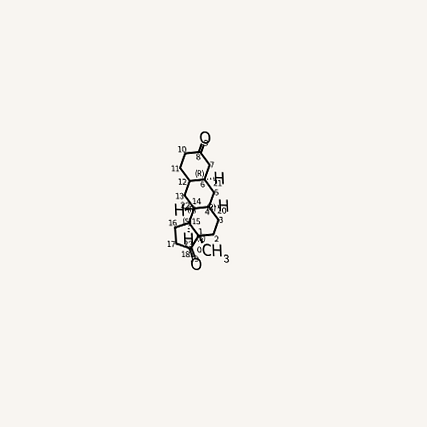 C[C@]12CC[C@@H]3C[C@@H]4CC(=O)CCC4C[C@H]3[C@@H]1CCC2=O